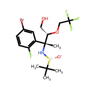 CC(C)(C)[S@@+]([O-])N[C@](C)(c1cc(Br)ccc1F)[C@H](CO)OCC(F)(F)F